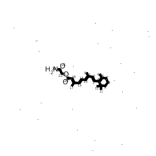 CC(C=CC1=C(C)CCCC1(C)C)=CC=CC(C)=CC(=O)OCC(N)=O